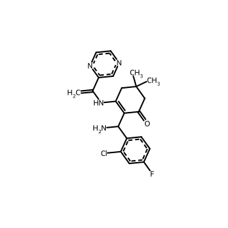 C=C(NC1=C(C(N)c2ccc(F)cc2Cl)C(=O)CC(C)(C)C1)c1cnccn1